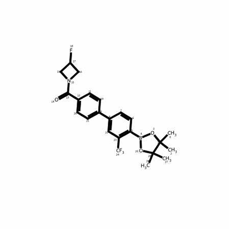 CC1(C)OB(c2ccc(-c3ccc(C(=O)N4CC(F)C4)cc3)cc2C(F)(F)F)OC1(C)C